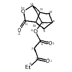 CCC(=O)CC(=O)OC1C2CC3C(=O)OC1C3C2